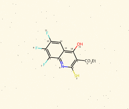 CCOC(=O)c1c(S)nc2c(F)c(F)c(F)cc2c1O